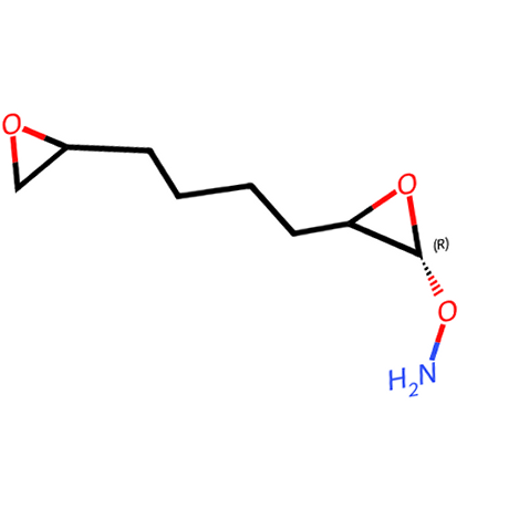 NO[C@H]1OC1CCCCC1CO1